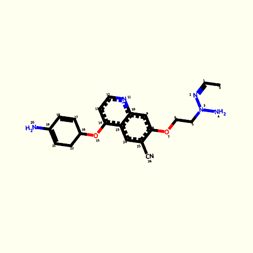 C/C=N\N(N)CCOc1cc2nccc(OC3C=CC(N)=CC3)c2cc1C#N